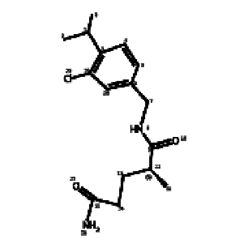 CC(C)c1ccc(CNC(=O)[C@@H](C)CCC(N)=O)cc1Cl